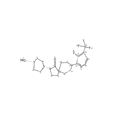 O=C1N([C@H]2CC[C@@H](O)CC2)CCC12CCN(c1nccc(C(F)(F)F)c1F)CC2